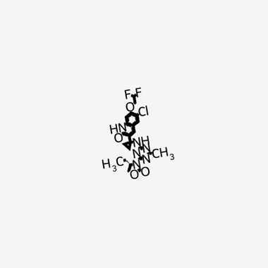 CC[C@H]1COC(=O)N1c1nc(C)nc(NC2(c3cc4cc(Cl)c(OCC(F)F)cc4[nH]c3=O)CC2)n1